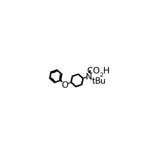 CC(C)(C)N(C(=O)O)[C@H]1CC[C@@H](Oc2ccccc2)CC1